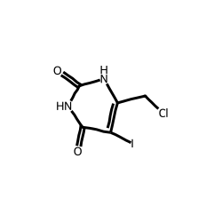 O=c1[nH]c(CCl)c(I)c(=O)[nH]1